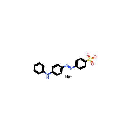 O=S(=O)([O-])c1ccc(N=Nc2ccc(Nc3ccccc3)cc2)cc1.[Na+]